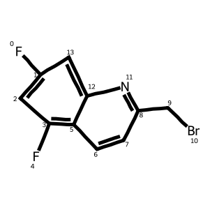 Fc1cc(F)c2ccc(CBr)nc2c1